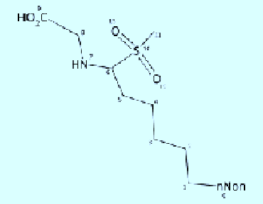 CCCCCCCCCCCCCCC(NCC(=O)O)S(C)(=O)=O